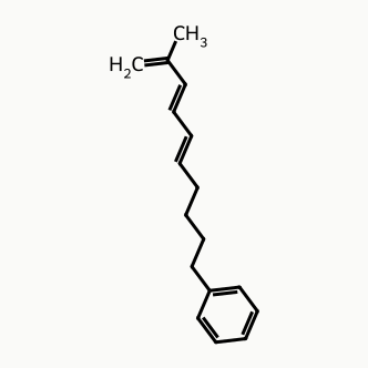 C=C(C)C=CC=CCCCCc1ccccc1